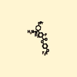 CCC[C@H]1CC[C@]([SiH2][SiH3])(c2ccc(C(=O)Oc3ccc(OC(F)(F)F)cc3)c(F)c2)CC1